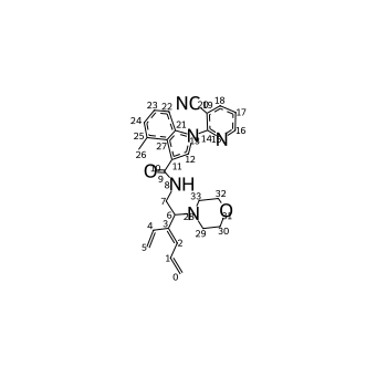 C=C/C=C(\C=C)C(CNC(=O)c1cn(-c2ncccc2C#N)c2cccc(C)c12)N1CCOCC1